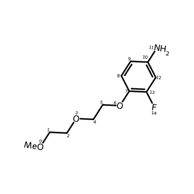 COCCOCCOc1ccc(N)cc1F